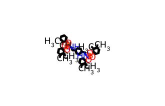 Cc1cccc(OP(=O)(NCc2ccc(CNP(=O)(Oc3cccc(C)c3C)Oc3cccc(C)c3C)cc2)Oc2cccc(C)c2C)c1C